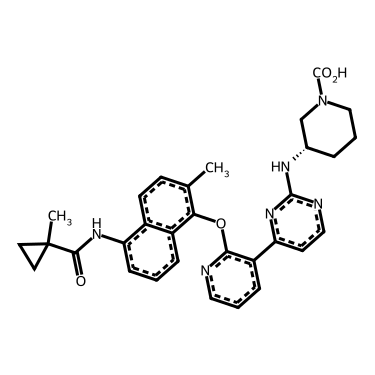 Cc1ccc2c(NC(=O)C3(C)CC3)cccc2c1Oc1ncccc1-c1ccnc(N[C@H]2CCCN(C(=O)O)C2)n1